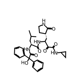 CC(C)C[C@H](NC(=O)C(O)(c1ccccc1)c1ccccc1)C(=O)NC(C[C@@H]1CCNC1=O)C(=O)C(=O)NC1CC1